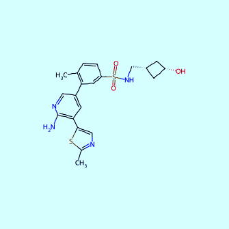 Cc1ncc(-c2cc(-c3cc(S(=O)(=O)NC[C@H]4C[C@@H](O)C4)ccc3C)cnc2N)s1